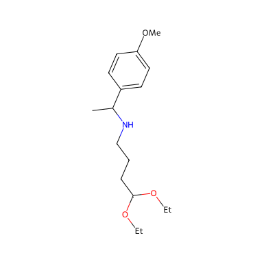 CCO[C](CCCNC(C)c1ccc(OC)cc1)OCC